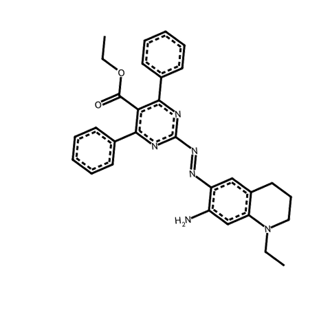 CCOC(=O)c1c(-c2ccccc2)nc(N=Nc2cc3c(cc2N)N(CC)CCC3)nc1-c1ccccc1